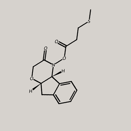 CSCCC(=O)ON1C(=O)CO[C@H]2Cc3ccccc3[C@H]21